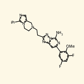 COc1c(F)cc(F)cc1-c1cc2nc(CCN3CCn4c(cnc4C(C)C)C3)nn2c(N)n1